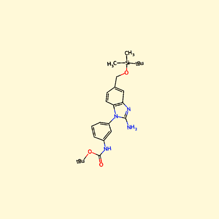 CC(C)(C)OC(=O)Nc1cccc(-n2c(N)nc3cc(CO[Si](C)(C)C(C)(C)C)ccc32)c1